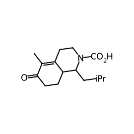 CC1=C2CCN(C(=O)O)C(CC(C)C)C2CCC1=O